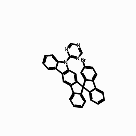 Brc1ccc2c(c1)C1(c3ccccc3-2)c2ccccc2-c2cc3c4ccccc4n(-c4ncncn4)c3cc21